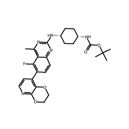 Cc1nc(N[C@H]2CC[C@@H](NC(=O)OC(C)(C)C)CC2)nc2ccc(-c3ccnc4c3OCCO4)c(F)c12